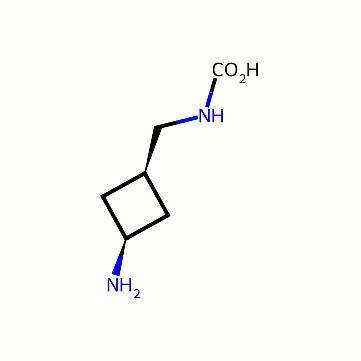 N[C@H]1C[C@@H](CNC(=O)O)C1